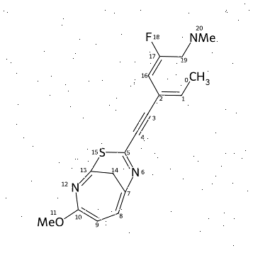 C/C=C(C#CC1=NC2=CC=C(OC)N=C(C2)S1)\C=C(\F)CNC